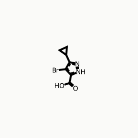 O=C(O)c1[nH]nc(C2CC2)c1Br